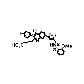 COc1ccccc1S(=O)(=O)NCc1cc(-c2ccc3c(=O)n(-c4ccc(F)cc4)c(CCCCC(=O)O)nc3c2)no1